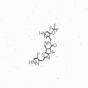 CN1c2nc(Cc3n[nH]cc3F)sc2C2C=NN(Cc3n[nH]cc3OC(F)(F)F)C(=O)C21